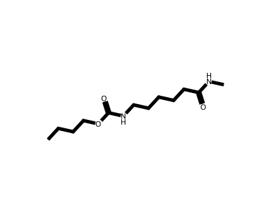 CCCCOC(=O)NCCCCCC(=O)NC